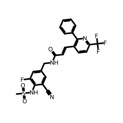 CS(=O)(=O)Nc1c(F)cc(CNC(=O)C=Cc2ccc(C(F)(F)F)nc2-c2ccccc2)cc1C#N